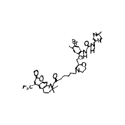 Cc1cnc(NC(=O)Nc2cc(Br)c(C)cc2OC[C@@H]2CN(CCCCCC(=O)N3c4cc5oc(=O)cc(C(F)(F)F)c5cc4CCC3(C)C)CCO2)cn1